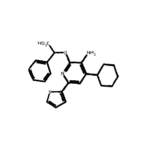 Nc1c(C2CCCCC2)cc(-c2cccs2)nc1OC(C(=O)O)c1ccccc1